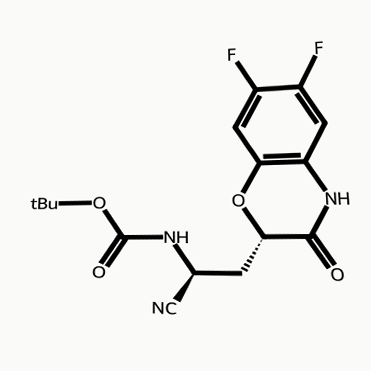 CC(C)(C)OC(=O)N[C@H](C#N)C[C@@H]1Oc2cc(F)c(F)cc2NC1=O